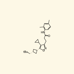 Cc1ccc(NC(=O)CCc2noc([C@H]3C[C@@H](CC(C)(C)C)C3)c2C2CC2)c(C)c1